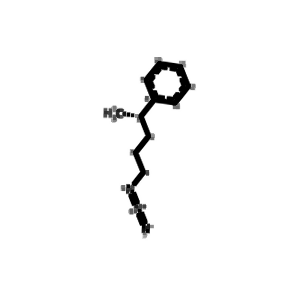 C[C@@H](CCCN=[N+]=[N-])c1ccccc1